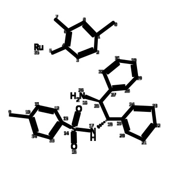 Cc1ccc(C)c(C)c1.Cc1ccc(S(=O)(=O)N[C@@H](c2ccccc2)[C@@H](N)c2ccccc2)cc1.[Ru]